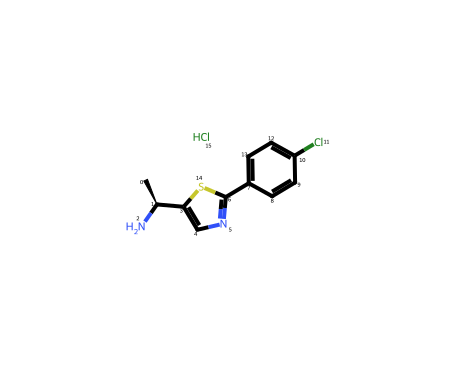 C[C@H](N)c1cnc(-c2ccc(Cl)cc2)s1.Cl